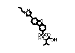 CCCn1cc(-c2ccc3c(c2)oc2ccc(S(=O)(=O)N[C@@H](C(=O)O)C(C)C)cc23)cn1